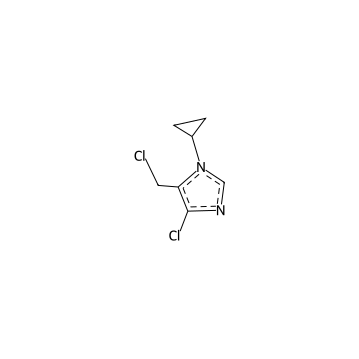 ClCc1c(Cl)ncn1C1CC1